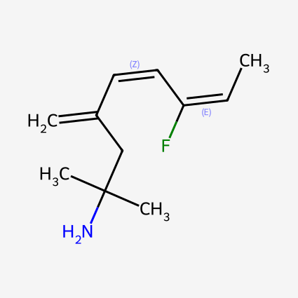 C=C(/C=C\C(F)=C/C)CC(C)(C)N